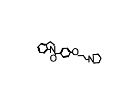 O=C(c1ccc(OCCCN2CCCCC2)cc1)N1CCc2ccccc21